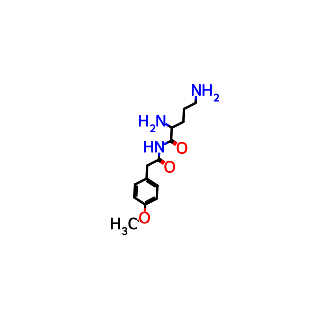 COc1ccc(CC(=O)NC(=O)C(N)CCCN)cc1